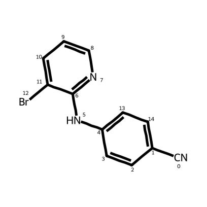 N#Cc1ccc(Nc2ncccc2Br)cc1